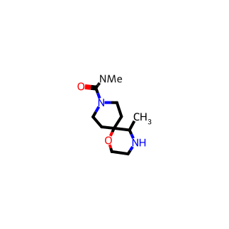 CNC(=O)N1CCC2(CC1)OCCNC2C